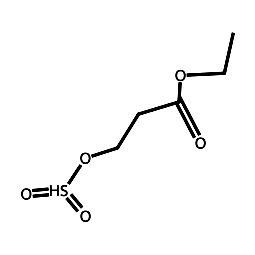 CCOC(=O)CCO[SH](=O)=O